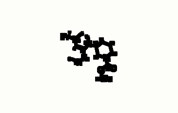 C/N=N\C(=C\N(C)C(C)C)N(C)[C@@H]1CCCN(C(=O)OC(C)(C)C)C1